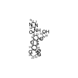 Cc1cnc(NC(=O)c2cc(Oc3cc4c(cc3F)S(=O)(=O)CCCO4)cc(O[C@@H](C)CO)c2)cn1